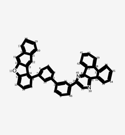 c1cc(-c2cccc(-c3cccc4oc5cc6ccccc6cc5c34)c2)cc(-c2cnc3c4ccccc4c4ccccc4c3n2)c1